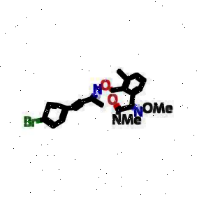 CNC(=O)/C(=N/OC)c1cccc(C)c1CO/N=C(\C)C#Cc1ccc(Br)cc1